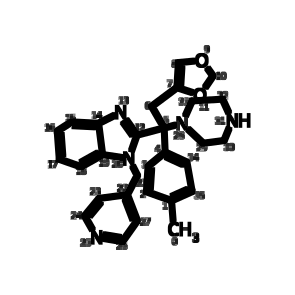 Cc1ccc(C(CC2=COCO2)(c2nc3ccccc3n2Cc2ccncc2)N2CCNCC2)cc1